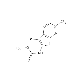 CC(C)(C)OC(=O)Nc1sc2nc(C(F)(F)F)ccc2c1Br